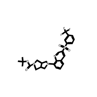 CC(C)(C)OC(=O)N1CC2CN(c3cccc4cc(S(=O)(=O)c5cccc(C(F)(F)F)c5)cnc34)CC2C1